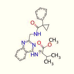 COC(=O)[C@@H](Nc1nc(CNC(=O)C2(c3ccccc3)CC2)nc2ccccc12)C(C)C